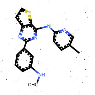 Cc1ccc(Nc2nc(-c3cccc(NC=O)c3)nc3ccsc23)nc1